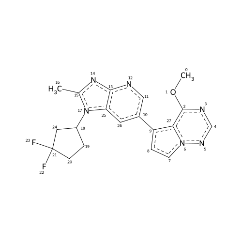 COc1ncnn2ccc(-c3cnc4nc(C)n(C5CCC(F)(F)C5)c4c3)c12